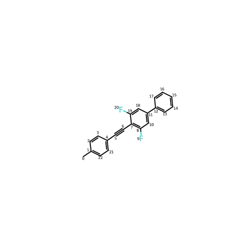 Cc1ccc(C#Cc2c(F)cc(-c3ccccc3)cc2F)cc1